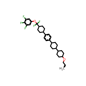 C=CCOC1CCC(C2CCC(c3ccc(C4CCC(C(F)(F)Oc5cc(F)c(F)c(F)c5)CC4)cc3)CC2)CC1